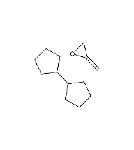 C1CCC(C2CCCC2)C1.C=C1CO1